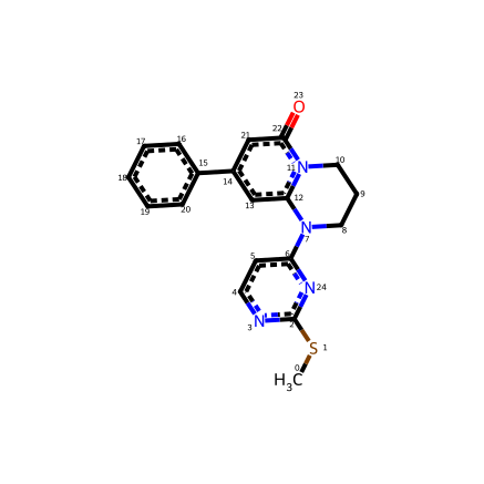 CSc1nccc(N2CCCn3c2cc(-c2ccccc2)cc3=O)n1